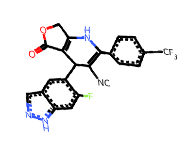 [C-]#[N+]C1=C(c2ccc(C(F)(F)F)cc2)NC2=C(C(=O)OC2)C1c1cc2cn[nH]c2cc1F